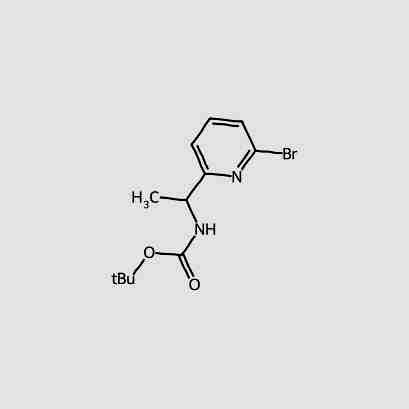 CC(NC(=O)OC(C)(C)C)c1cccc(Br)n1